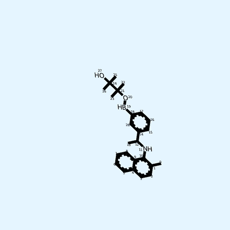 Cc1ccc2ccccc2c1NC(C)c1cccc(BOC(C)(C)C(C)(C)O)c1